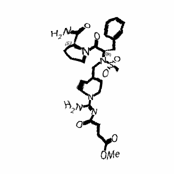 COC(=O)CCC(=O)N=C(N)N1CCC(CN([C@H](Cc2ccccc2)C(=O)N2CCC[C@H]2C(N)=O)S(C)(=O)=O)CC1